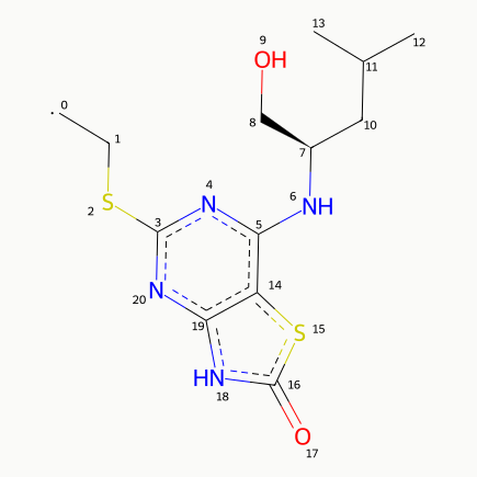 [CH2]CSc1nc(N[C@@H](CO)CC(C)C)c2sc(=O)[nH]c2n1